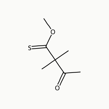 COC(=S)C(C)(C)C(C)=O